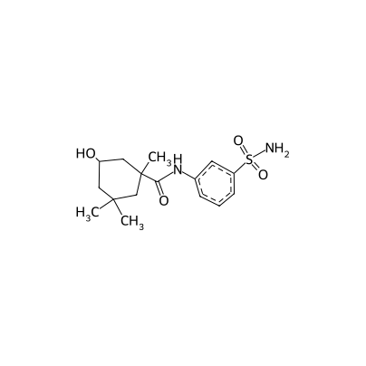 CC1(C)CC(O)CC(C)(C(=O)Nc2cccc(S(N)(=O)=O)c2)C1